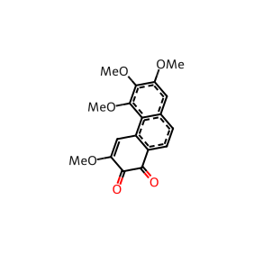 COC1=Cc2c(ccc3cc(OC)c(OC)c(OC)c23)C(=O)C1=O